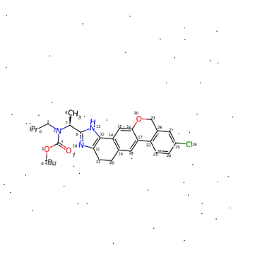 CC(C)CN(C(=O)OC(C)(C)C)[C@@H](C)c1nc2c([nH]1)-c1cc3c(cc1CC2)-c1ccc(Cl)cc1CO3